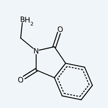 BCN1C(=O)c2ccccc2C1=O